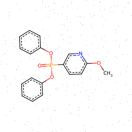 COc1ccc(P(=O)(Oc2ccccc2)Oc2ccccc2)cn1